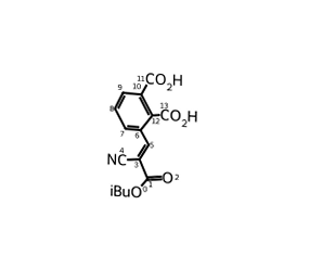 CC(C)COC(=O)/C(C#N)=C/c1cccc(C(=O)O)c1C(=O)O